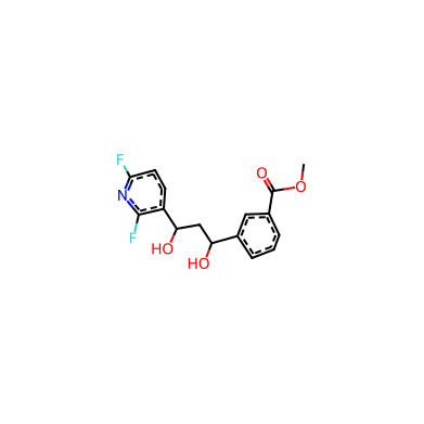 COC(=O)c1cccc(C(O)CC(O)c2ccc(F)nc2F)c1